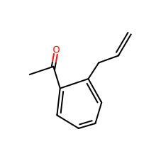 C=CCc1ccccc1C(C)=O